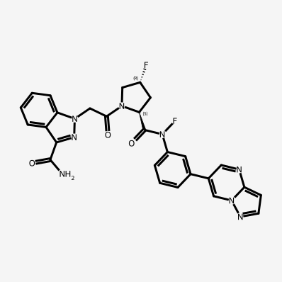 NC(=O)c1nn(CC(=O)N2C[C@H](F)C[C@H]2C(=O)N(F)c2cccc(-c3cnc4ccnn4c3)c2)c2ccccc12